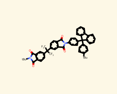 CC(C)(C)c1ccc(C2(c3ccc(N4C(=O)c5ccc(C(c6ccc7c(c6)C(=O)N(C(C)(C)C)C7=O)(C(F)(F)F)C(F)(F)F)cc5C4=O)cc3)c3ccccc3-c3ccccc32)cc1